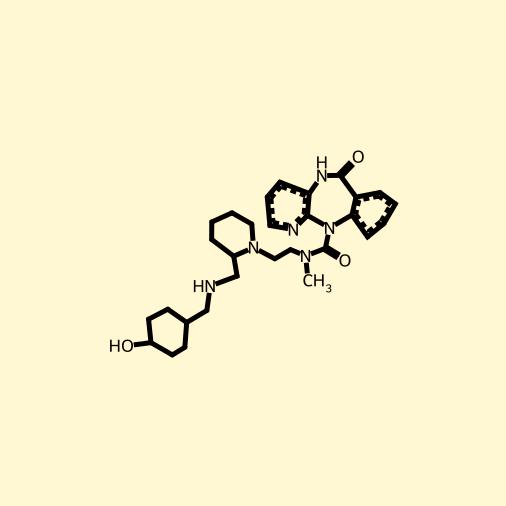 CN(CCN1CCCCC1CNCC1CCC(O)CC1)C(=O)N1c2ccccc2C(=O)Nc2cccnc21